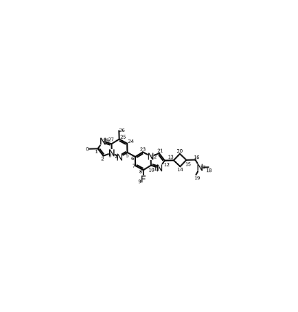 Cc1cn2nc(-c3cc(F)c4nc(C5CC(CN(C)C)C5)cn4c3)cc(C)c2n1